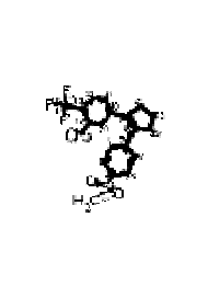 CS(=O)(=O)c1ccc(C2=C(c3ccc(C(F)(F)F)c(Cl)c3)CCC2)cc1